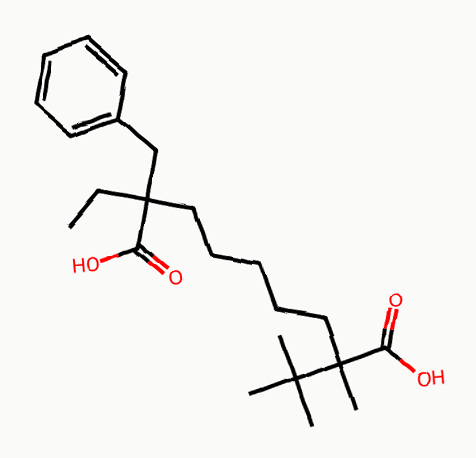 CCC(CCCCCC(C)(C(=O)O)C(C)(C)C)(Cc1ccccc1)C(=O)O